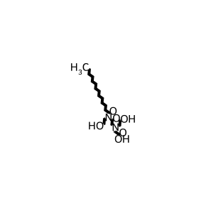 CCCCCCCCCCCCCC(=O)N(CCO)CCN(CC(=O)O)CC(=O)O